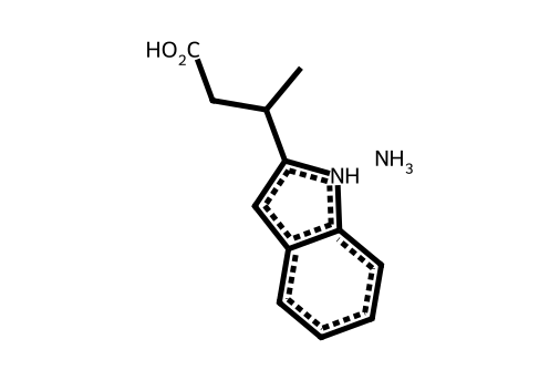 CC(CC(=O)O)c1cc2ccccc2[nH]1.N